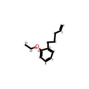 C=CCCCc1ccccc1OCC